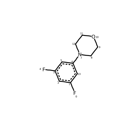 Fc1[c]c(F)cc(N2CCOCC2)c1